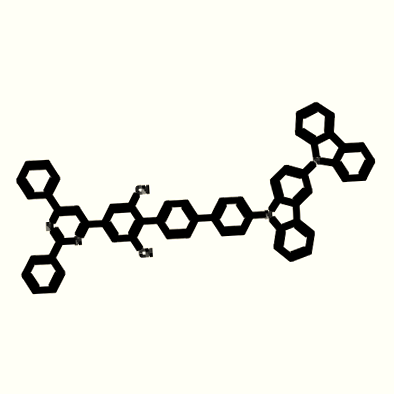 N#Cc1cc(-c2cc(-c3ccccc3)nc(-c3ccccc3)n2)cc(C#N)c1-c1ccc(-c2ccc(-n3c4ccccc4c4cc(-n5c6ccccc6c6ccccc65)ccc43)cc2)cc1